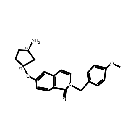 COc1ccc(Cn2ccc3cc(O[C@H]4CC[C@@H](N)C4)ccc3c2=O)cc1